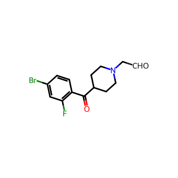 O=CCN1CCC(C(=O)c2ccc(Br)cc2F)CC1